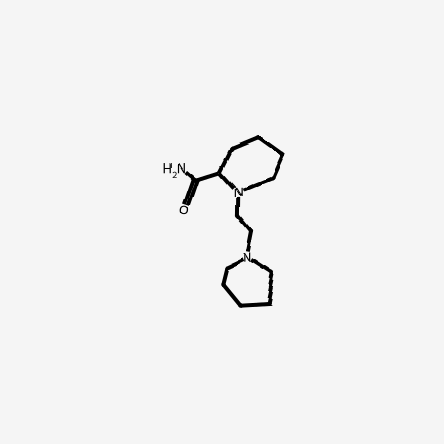 NC(=O)C1CCCCN1CCN1CCCCC1